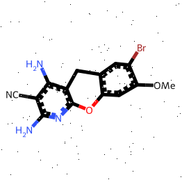 COc1cc2c(cc1Br)Cc1c(nc(N)c(C#N)c1N)O2